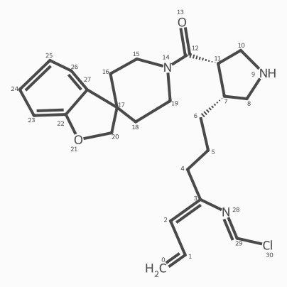 C=C/C=C(CCC[C@H]1CNC[C@H]1C(=O)N1CCC2(CC1)COc1ccccc12)\N=C\Cl